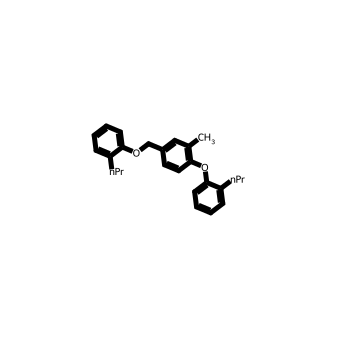 CCCc1ccccc1OCc1ccc(Oc2ccccc2CCC)c(C)c1